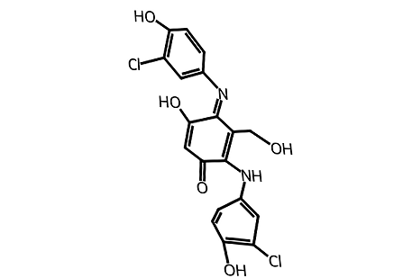 O=C1C=C(O)C(=Nc2ccc(O)c(Cl)c2)C(CO)=C1Nc1ccc(O)c(Cl)c1